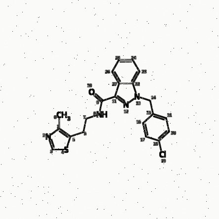 Cc1ncsc1CCNC(=O)c1nn(Cc2ccc(Cl)cc2)c2ccccc12